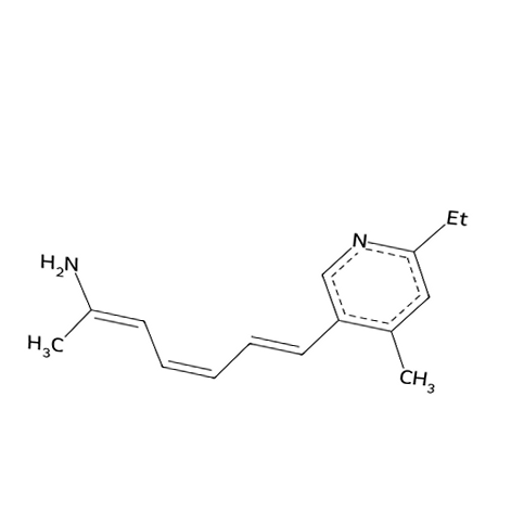 CCc1cc(C)c(/C=C/C=C\C=C(/C)N)cn1